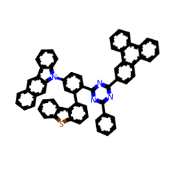 c1ccc(-c2nc(-c3ccc4c5ccccc5c5ccccc5c4c3)nc(-c3ccc(-n4c5ccccc5c5cc6ccccc6cc54)cc3-c3cccc4sc5ccccc5c34)n2)cc1